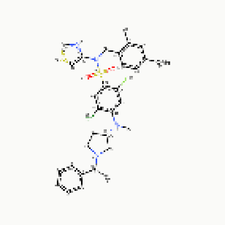 CC[C@H](c1ccccc1)N1CC[C@H](N(C)c2cc(F)c(S(=O)(=O)N(Cc3ccc(OC)cc3C)c3cscn3)cc2Cl)C1